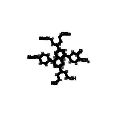 COCCN(CCOC)c1nc(N2CCN(C)C(=O)C2)c2nc(N(CCO)CCO)nc(N3CCC(OC)CC3)c2n1